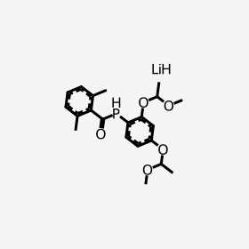 COC(C)Oc1ccc(PC(=O)c2c(C)cccc2C)c(OC(C)OC)c1.[LiH]